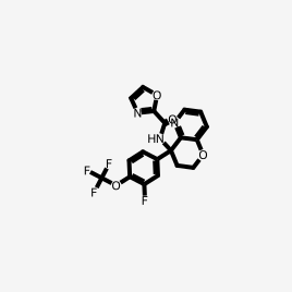 O=C(NC1(c2ccc(OC(F)(F)F)c(F)c2)CCOc2cccnc21)c1ncco1